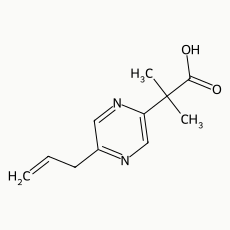 C=CCc1cnc(C(C)(C)C(=O)O)cn1